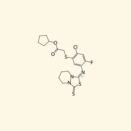 O=C(CSc1cc(/N=c2/sc(=S)n3n2CCCC3)c(F)cc1Cl)OC1CCCC1